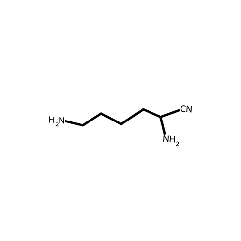 N#CC(N)CCCCN